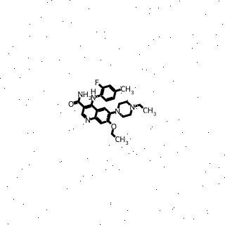 CCOc1cc2ncc(C(N)=O)c(Nc3ccc(C)cc3F)c2cc1N1CCN(CC)CC1